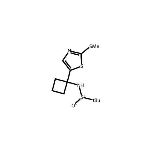 CSc1ncc(C2(N[S+]([O-])C(C)(C)C)CCC2)s1